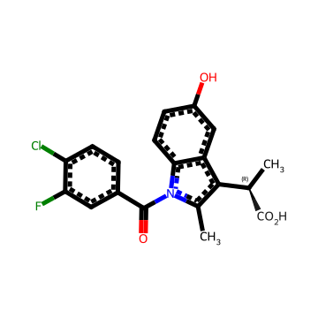 Cc1c([C@@H](C)C(=O)O)c2cc(O)ccc2n1C(=O)c1ccc(Cl)c(F)c1